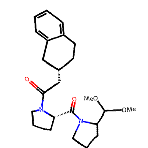 COC(OC)C1CCCN1C(=O)[C@@H]1CCCN1C(=O)C[C@H]1CCc2ccccc2C1